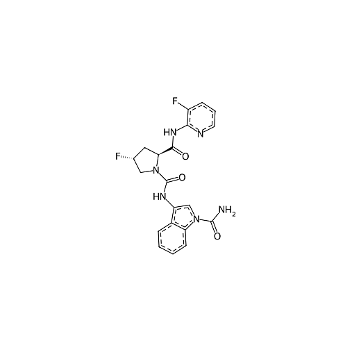 NC(=O)n1cc(NC(=O)N2C[C@H](F)C[C@H]2C(=O)Nc2ncccc2F)c2ccccc21